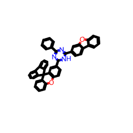 c1ccc(C2=NC(c3ccc4c(c3)C3(c5ccccc5O4)c4ccccc4-c4ccccc43)NC(c3ccc4c(c3)oc3ccccc34)=N2)cc1